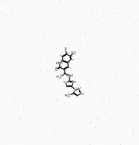 Cc1cnnn1-c1coc(NC(C)c2cc3cc(Cl)c(F)cc3[nH]c2=O)n1